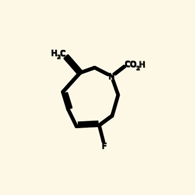 C=C1/C=C\C=C(\F)CCN(C(=O)O)C1